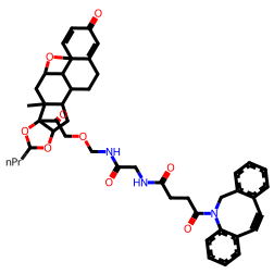 CCCC1OC2CC3C4CCC5=CC(=O)C=CC56OC(CC3(C)C2(C(=O)COCNC(=O)CNC(=O)CCC(=O)N2Cc3ccccc3C#Cc3ccccc32)O1)C46